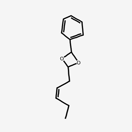 CC/C=C\CC1OC(c2ccccc2)O1